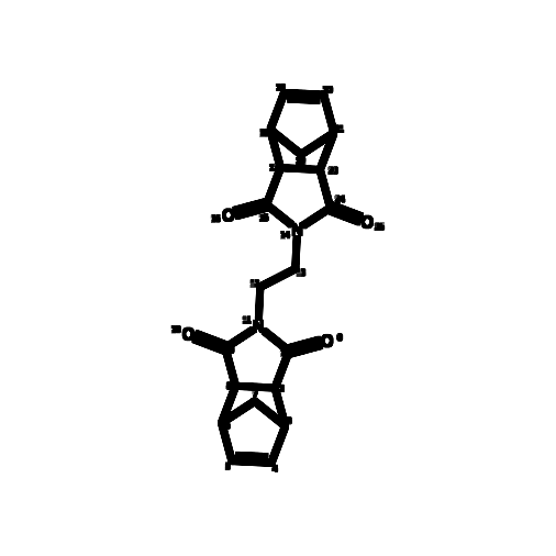 O=C1C2C3C=CC(C3)C2C(=O)N1CCN1C(=O)C2C3C=CC(C3)C2C1=O